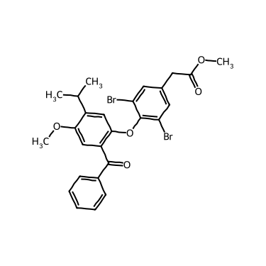 COC(=O)Cc1cc(Br)c(Oc2cc(C(C)C)c(OC)cc2C(=O)c2ccccc2)c(Br)c1